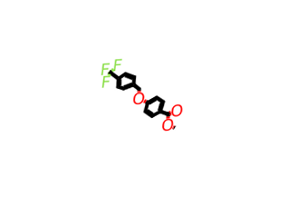 COC(=O)c1ccc(OCc2ccc(C(F)(F)F)cc2)cc1